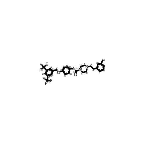 Cc1cccc(CCN2CCN(C(=O)Nc3ccc(OCc4cc(C(F)(F)F)cc(C(F)(F)F)c4)cc3)CC2)c1